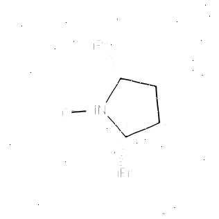 [CH2-][NH+]1[C@@H](C(C)C)CC[C@H]1C(C)C